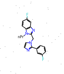 CCCn1c(Cn2ccnc2-c2cccc(F)c2)nc2cc(F)ccc21